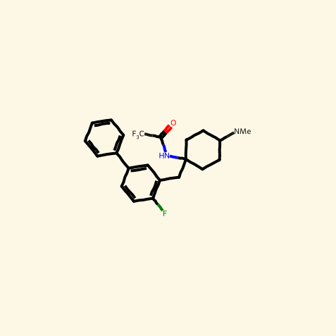 CNC1CCC(Cc2cc(-c3ccccc3)ccc2F)(NC(=O)C(F)(F)F)CC1